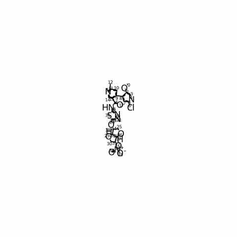 COc1cnc(Cl)cc1-c1cc(C)ncc1C(=O)Nc1nnc(O[C@H]2CO[C@H]3[C@@H]2OC[C@H]3O[N+](=O)[O-])s1